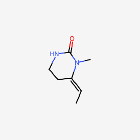 C/C=C1\CCNC(=O)N1C